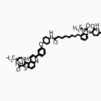 C[C@@H]1CNc2c(sc3ccc4nc(-c5cccc(OC6CCC(NC(=O)CCCCCCCc7cccc8c7n(C)c(=O)n8C7CCC(=O)NC7=O)CC6)c5)ccc4c23)C(=O)N1